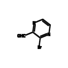 O=Cc1nccnc1Br